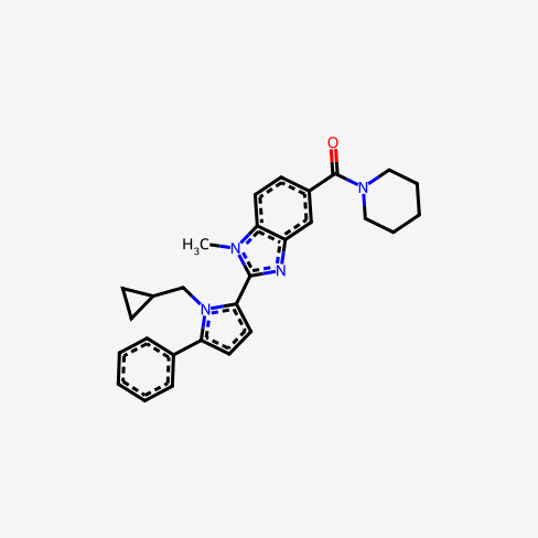 Cn1c(-c2ccc(-c3ccccc3)n2CC2CC2)nc2cc(C(=O)N3CCCCC3)ccc21